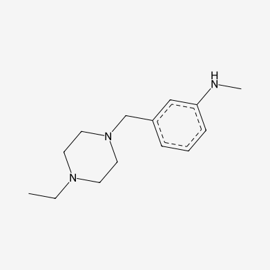 CCN1CCN(Cc2cccc(NC)c2)CC1